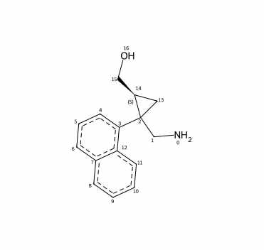 NCC1(c2cccc3ccccc23)C[C@@H]1CO